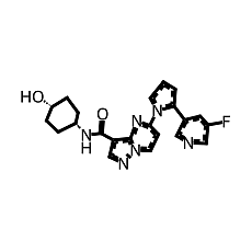 O=C(N[C@H]1CC[C@@H](O)CC1)c1cnn2ccc(-n3cccc3-c3cncc(F)c3)nc12